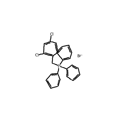 Clc1ccc(C[P+](c2ccccc2)(c2ccccc2)c2ccccc2)c(Cl)c1.[Br-]